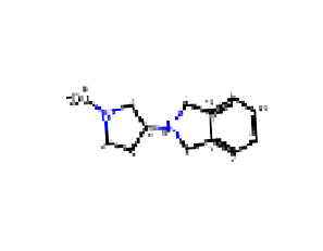 CC(C)(C)N1CCC(N2Cc3ccccc3C2)C1